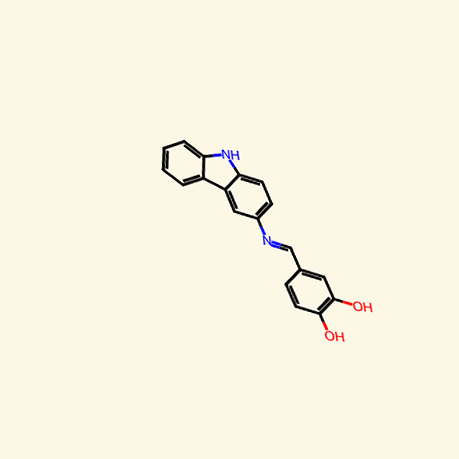 Oc1ccc(/C=N/c2ccc3[nH]c4ccccc4c3c2)cc1O